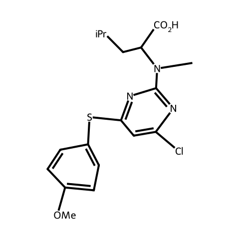 COc1ccc(Sc2cc(Cl)nc(N(C)C(CC(C)C)C(=O)O)n2)cc1